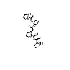 O=C(ON1CCC[C@H]1C(=O)ON1CCC[C@@H]1C(=O)OC(=O)[C@H]1CCCN1)[C@@H]1CCCN1